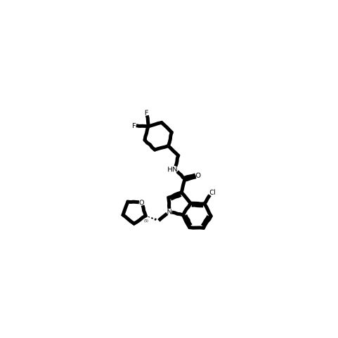 O=C(NCC1CCC(F)(F)CC1)c1cn(C[C@@H]2CCCO2)c2cccc(Cl)c12